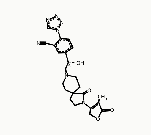 CC1=C(N2CCC3(CCN(C[C@@H](O)c4ccc(-n5cnnn5)c(C#N)c4)CC3)C2=O)COC1=O